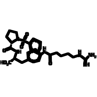 N=C(N)NCCCCC(=O)Nc1ccc(C[C@H](NC(=O)[C@@H]2CCCN2S(=O)(=O)c2ccccc2)C(=O)O)cc1